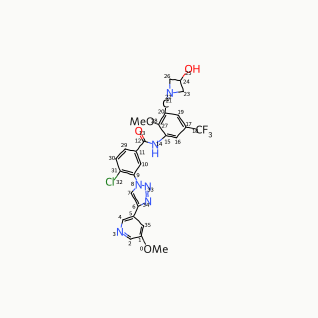 COc1cncc(-c2cn(-c3cc(C(=O)Nc4cc(C(F)(F)F)cc(CN5CC(O)C5)c4OC)ccc3Cl)nn2)c1